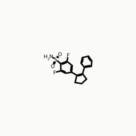 NS(=O)(=O)c1c(F)cc(C2=C(c3ccccc3)CCC2)cc1F